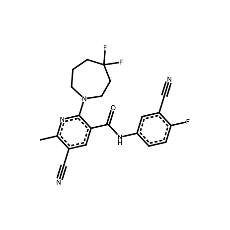 Cc1nc(N2CCCC(F)(F)CC2)c(C(=O)Nc2ccc(F)c(C#N)c2)cc1C#N